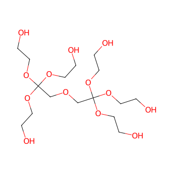 OCCOC(COCC(OCCO)(OCCO)OCCO)(OCCO)OCCO